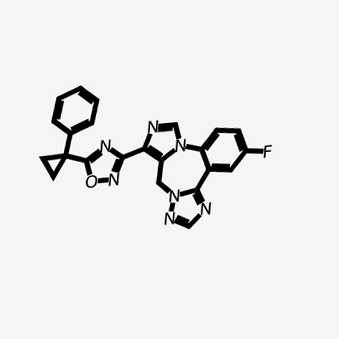 Fc1ccc2c(c1)-c1ncnn1Cc1c(-c3noc(C4(c5ccccc5)CC4)n3)ncn1-2